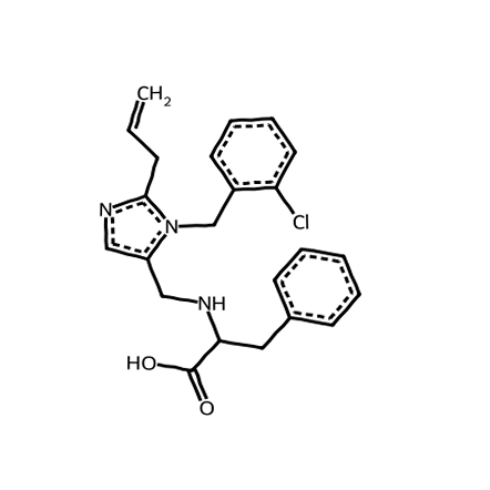 C=CCc1ncc(CNC(Cc2ccccc2)C(=O)O)n1Cc1ccccc1Cl